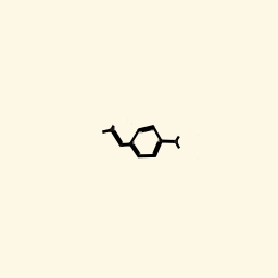 [CH2]C(C)=Cc1ccc(C(C)C)cc1